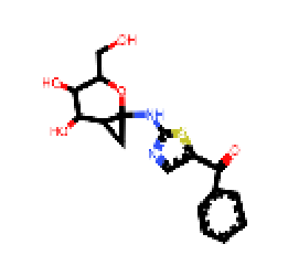 O=C(c1ccccc1)c1cnc(NC23CC2C(O)C(O)C(CO)O3)s1